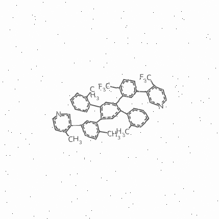 Cc1ccncc1-c1ccc(C)c(-c2cc(-c3ccccc3C)c(-c3cc(-c4cnccc4C(F)(F)F)ccc3C(F)(F)F)cc2-c2ccccc2C)c1